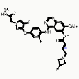 COc1cc2ncnc(Nc3ccc(Oc4nn(CC(=O)NC(C)(C)C)cc4F)cc3F)c2cc1NC(=O)/C=C/CN1CC(F)C1